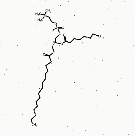 CCCCCCCCCCCCCCCC(=O)OC[C@H](COP(=O)([O-])OCC[N+](C)(C)C)OC(=O)CCCCCCC